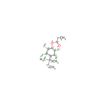 CCC(=O)Oc1c(F)c(F)c(C(C)(C)CC)c(F)c1F